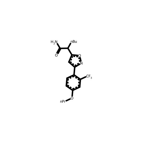 CCCCC(C(N)=O)c1cc(-c2ccc(OCCC)cc2C(F)(F)F)no1